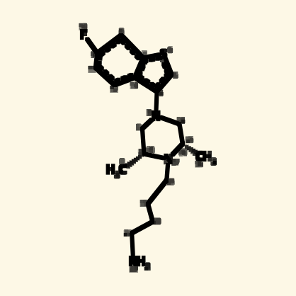 C[C@@H]1CN(c2csc3cc(F)ccc23)C[C@H](C)N1CCCCN